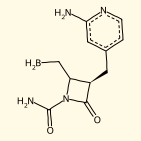 BCC1[C@@H](Cc2ccnc(N)c2)C(=O)N1C(N)=O